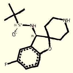 CC(C)(C)[S@@+]([O-])N[C@@H]1c2cc(F)ccc2OC12CCNCC2